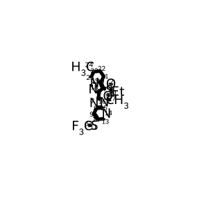 CCS(=O)(=O)c1c(-c2nc3cc(SC(F)(F)F)cnc3n2C)nn2c1CCC(C)C2